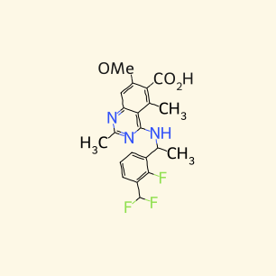 COc1cc2nc(C)nc(NC(C)c3cccc(C(F)F)c3F)c2c(C)c1C(=O)O